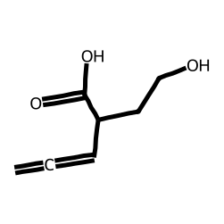 C=C=CC(CCO)C(=O)O